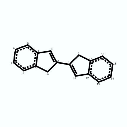 [CH]1C(C2=Cc3ccccc3C2)=Cc2ccccc21